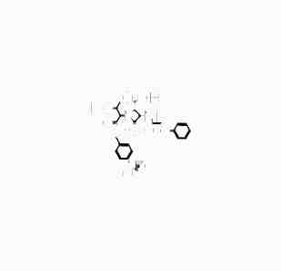 CC(O)C(C(=O)OCc1ccc([N+](=O)[O-])cc1)N1C(=O)[C@H](NC(=O)COc2ccccc2)[C@@H]1C(=O)O